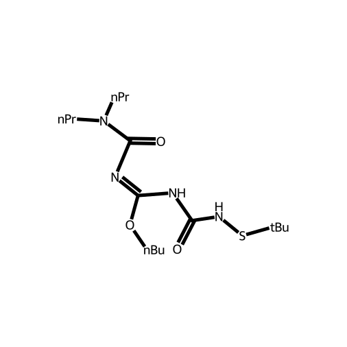 CCCCOC(=NC(=O)N(CCC)CCC)NC(=O)NSC(C)(C)C